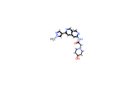 Cn1cc(-c2cc3cc(NC(=O)CN4CCC(O)CC4)ncc3cn2)cn1